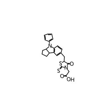 O=C(O)CN1C(=O)C(Cc2ccc3c(c2)C2CCCC2N3c2ccccc2)SC1=S